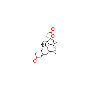 CCC12CCC3C4CCC(=O)C=C4CC(C4CC4)C3C1[C@H]1CC1[C@@]21CCC(=O)O1